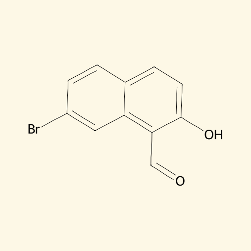 O=Cc1c(O)ccc2ccc(Br)cc12